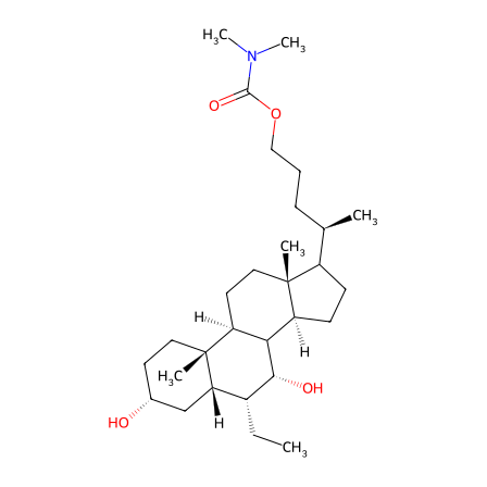 CC[C@H]1[C@@H](O)C2[C@H](CC[C@]3(C)C([C@H](C)CCCOC(=O)N(C)C)CC[C@@H]23)[C@@]2(C)CC[C@@H](O)C[C@@H]12